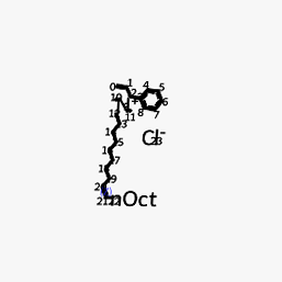 C=CC(c1ccccc1)[N+](C)(C)CCCCCCCC/C=C\CCCCCCCC.[Cl-]